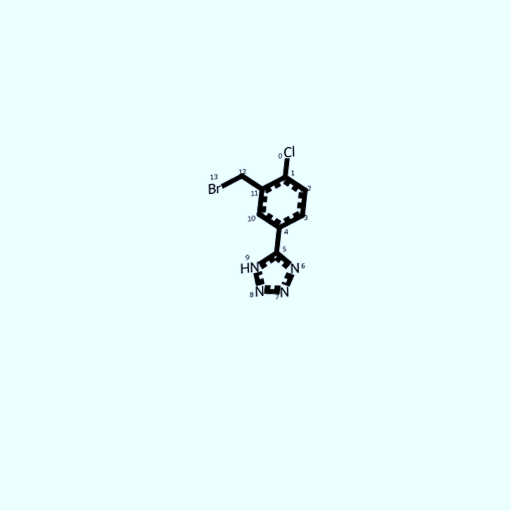 Clc1ccc(-c2nnn[nH]2)cc1CBr